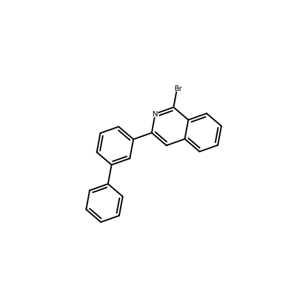 Brc1nc(-c2cccc(-c3ccccc3)c2)cc2ccccc12